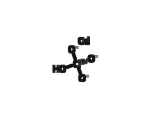 [Gd].[O-][Cl+3]([O-])([O-])O